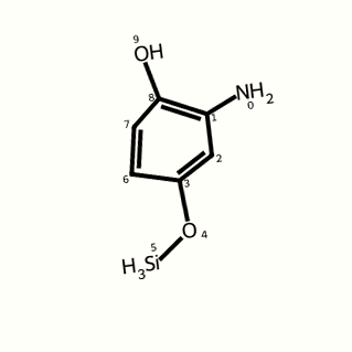 Nc1cc(O[SiH3])ccc1O